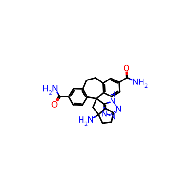 NC(=O)c1ccc2c(c1)CCc1cc(C(N)=O)ccc1C2(CC1(N)CCCC1)c1nnn[nH]1